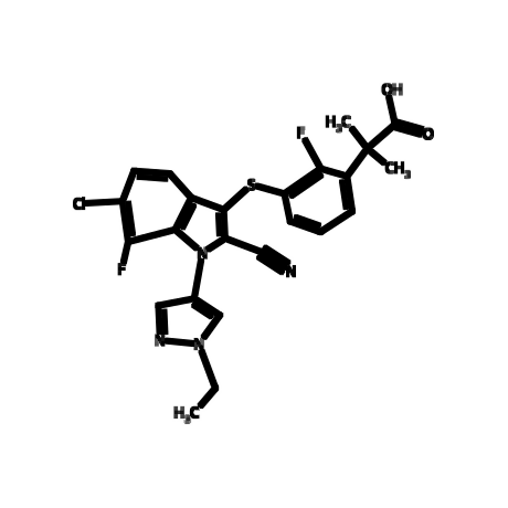 CCn1cc(-n2c(C#N)c(Sc3cccc(C(C)(C)C(=O)O)c3F)c3ccc(Cl)c(F)c32)cn1